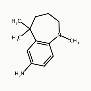 CN1CCCC(C)(C)c2cc(N)ccc21